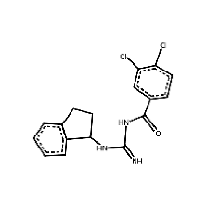 N=C(NC(=O)c1ccc(Cl)c(Cl)c1)NC1CCc2ccccc21